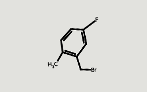 Cc1ccc(F)cc1CBr